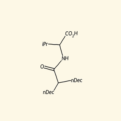 CCCCCCCCCCC(CCCCCCCCCC)C(=O)NC(C(=O)O)C(C)C